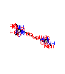 CC(O)C(=O)c1c(I)c(C(=O)NC(C)(CO)CO)c(I)c(C(=O)N(N)CCCOCCOCCOCCOCCCN(N)C(=O)c2c(I)c(C(=O)NC(C)(CO)CO)c(I)c(C(=O)C(C)O)c2I)c1I